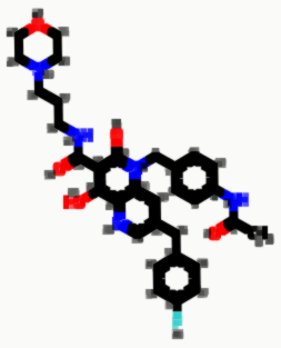 CC(=O)Nc1ccc(Cn2c(=O)c(C(=O)NCCCN3CCOCC3)c(O)c3ncc(Cc4ccc(F)cc4)cc32)cc1